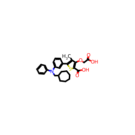 Cc1c(-c2cccc(N(CC3CCCCCC3)c3ccccc3)c2)sc(C(=O)O)c1OCC(=O)O